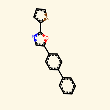 c1ccc(-c2ccc(-c3cnc(-c4cccs4)o3)cc2)cc1